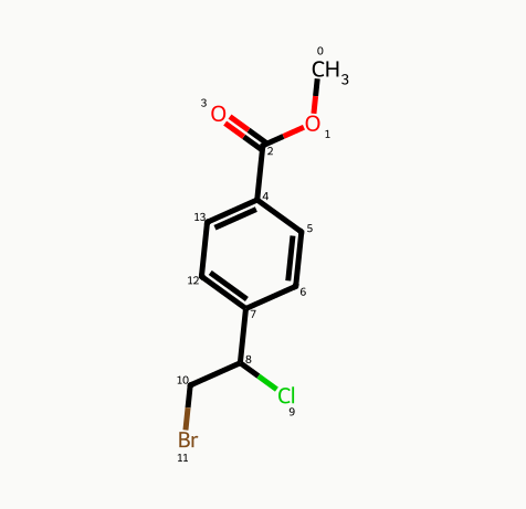 COC(=O)c1ccc(C(Cl)CBr)cc1